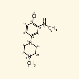 CNc1cc(N2CCN(C)CC2)ccc1Cl